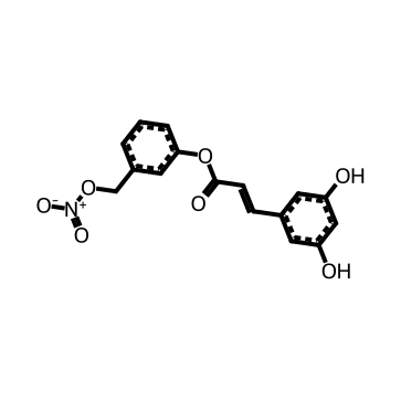 O=C(C=Cc1cc(O)cc(O)c1)Oc1cccc(CO[N+](=O)[O-])c1